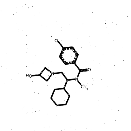 CN(C(=O)c1ccc(Cl)cc1)C(CN1CC(O)C1)C1CCCCC1